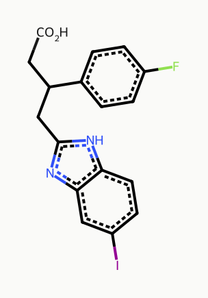 O=C(O)CC(Cc1nc2cc(I)ccc2[nH]1)c1ccc(F)cc1